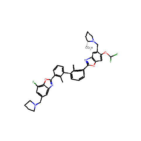 Cc1c(-c2nc3cc(CN4CCC[C@H]4C(=O)O)c(OC(F)F)cc3o2)cccc1-c1cccc(-c2nc3cc(CN4CCCC4)cc(F)c3o2)c1C